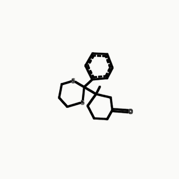 CC1(C2(c3ccccc3)SCCCS2)CCCC(=O)C1